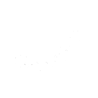 O=C(NCc1nc(C(=O)NCCc2cccc(Cl)c2)cs1)N[C@@H]1C[C@H]1c1ccccc1